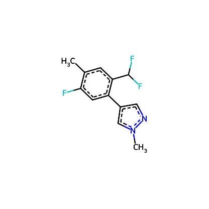 Cc1cc(C(F)F)c(-c2cnn(C)c2)cc1F